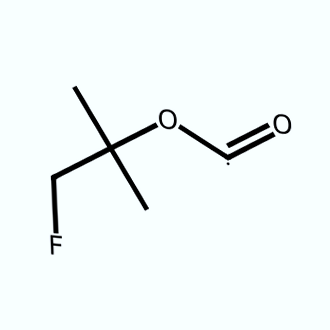 CC(C)(CF)O[C]=O